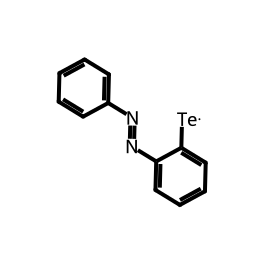 [Te]c1ccccc1N=Nc1ccccc1